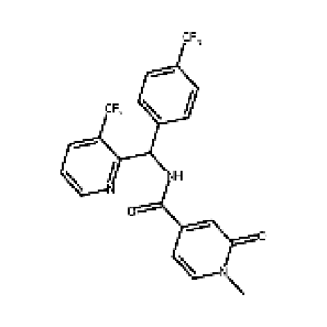 Cn1ccc(C(=O)NC(c2ccc(C(F)(F)F)cc2)c2ncccc2C(F)(F)F)cc1=O